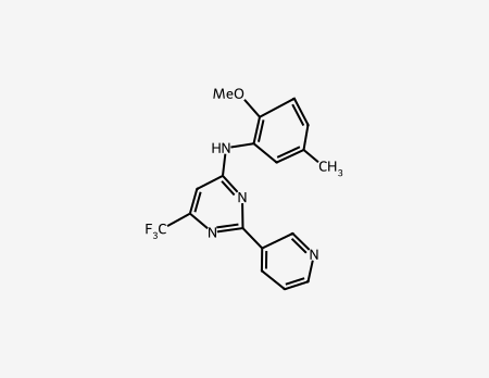 COc1ccc(C)cc1Nc1cc(C(F)(F)F)nc(-c2cccnc2)n1